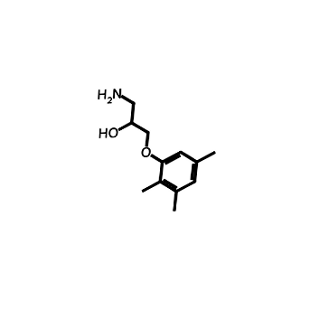 Cc1cc(C)c(C)c(OCC(O)CN)c1